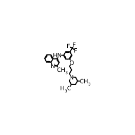 Cc1cc(Nc2cc(OCCCN3CC(C)CC(C)C3)cc(C(F)(F)F)c2)c2ccccc2n1